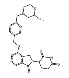 BC1CN(Cc2ccc(COc3cccc4c3CN(C3CCC(=O)NC3=O)C4=O)cc2)CCO1